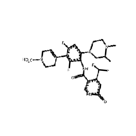 CC1CN(c2cc(F)c(C3=CCN(C(=O)O)CC3)c(F)c2NC(=O)c2c[nH]c(=O)cc2C(F)F)CCN1C